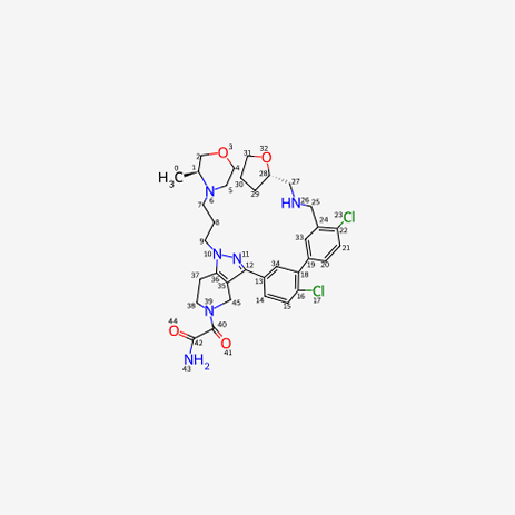 C[C@H]1COCCN1CCCn1nc(-c2ccc(Cl)c(-c3ccc(Cl)c(CNC[C@@H]4CCCO4)c3)c2)c2c1CCN(C(=O)C(N)=O)C2